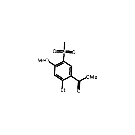 CCc1cc(OC)c(S(C)(=O)=O)cc1C(=O)OC